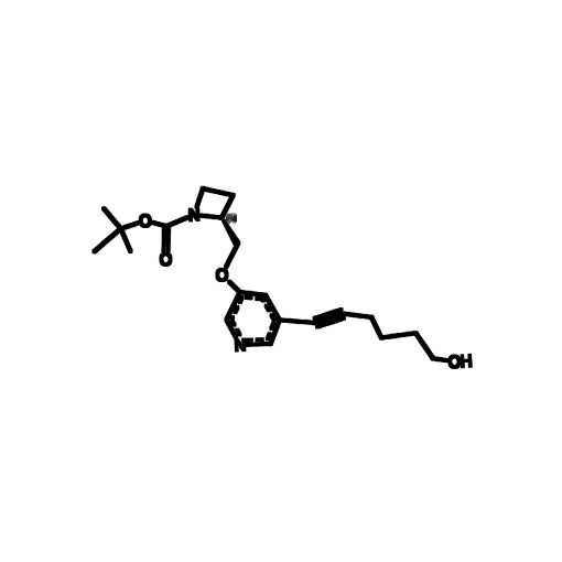 CC(C)(C)OC(=O)N1CC[C@H]1COc1cncc(C#CCCCCO)c1